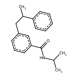 CC(C)NC(=O)c1cccc(CC(C)c2ccccc2)c1